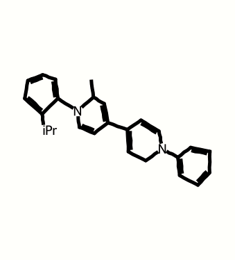 CC(C)c1ccccc1N1C=CC(C2=CCN(c3ccccc3)C=C2)=CC1C